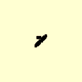 [B]#[Nb]#[B].[SiH4]